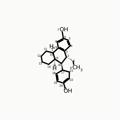 CC[C@H]1c2ccc(O)cc2[C@@H]2CCCC[C@@H]2[C@@H]1C1C=CC(O)=CC1